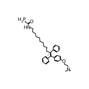 CN(C)CCOc1ccc(/C(=C(/CCCCCCCCCCNC(=O)CP)c2ccccc2)c2ccccc2)cc1